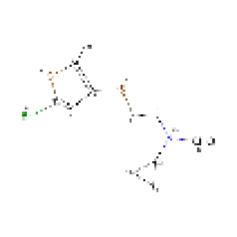 Cc1sc(Br)cc1SCCN(C=O)C1CC1